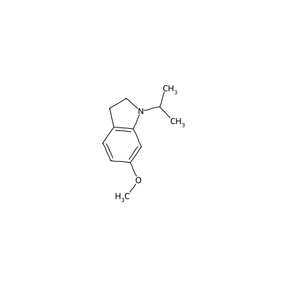 COc1ccc2c(c1)N(C(C)C)CC2